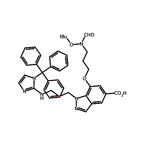 CC(C)(C)ON(C=O)CCCOc1cc(C(=O)O)cc2cnn(CCCNc3nccn3C(c3ccccc3)(c3ccccc3)c3ccccc3)c12